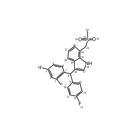 Cc1cc(F)ccc1C(c1ccc(F)cc1)c1c[nH]c2c(CS(C)(=O)=O)cccc12